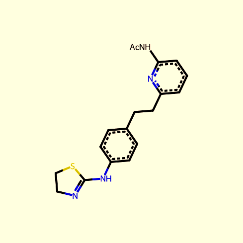 CC(=O)Nc1cccc(CCc2ccc(NC3=NCCS3)cc2)n1